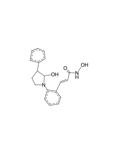 O=C(/C=C/c1ccccc1N1CCC(c2ccccc2)C1O)NO